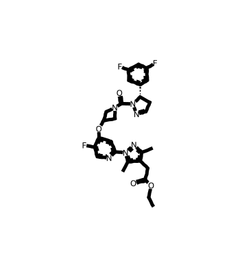 CCOC(=O)Cc1c(C)nn(-c2cc(OC3CN(C(=O)N4N=CC[C@H]4c4cc(F)cc(F)c4)C3)c(F)cn2)c1C